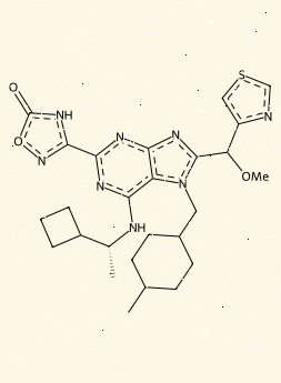 COC(c1cscn1)c1nc2nc(-c3noc(=O)[nH]3)nc(N[C@H](C)C3CCC3)c2n1CC1CCC(C)CC1